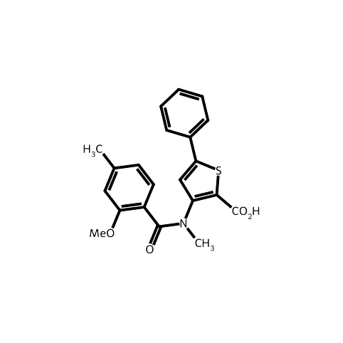 COc1cc(C)ccc1C(=O)N(C)c1cc(-c2ccccc2)sc1C(=O)O